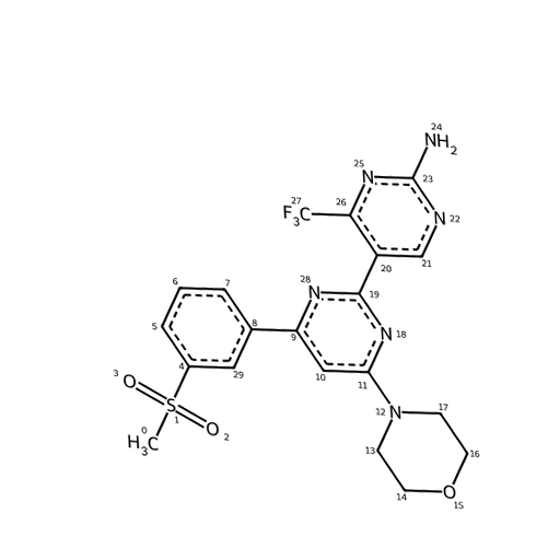 CS(=O)(=O)c1cccc(-c2cc(N3CCOCC3)nc(-c3cnc(N)nc3C(F)(F)F)n2)c1